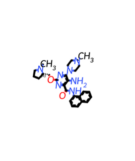 CN1CCN(c2nc(OC[C@@H]3CCCN3C)nc(C(=O)Nc3cccc4ccccc34)c2N)CC1